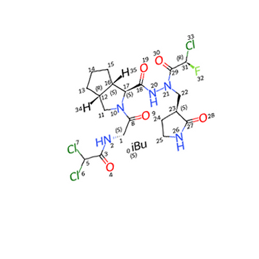 CC[C@H](C)[C@H](NC(=O)C(Cl)Cl)C(=O)N1C[C@@H]2CCC[C@@H]2[C@H]1C(=O)NN(C[C@@H]1CCNC1=O)C(=O)[C@H](F)Cl